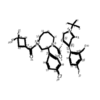 CC(C)(C)N1C[C@@H](C(=O)N2CCCCN(C(=O)C3CC(F)(F)C3)CC2c2ccc(Cl)cc2)[C@H](c2ccc(F)cc2F)C1